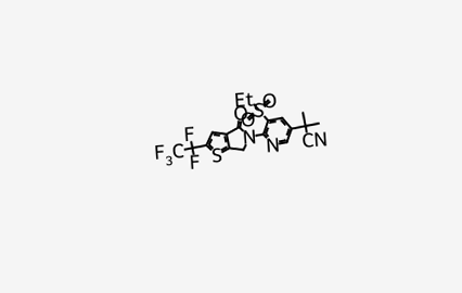 CCS(=O)(=O)c1cc(C(C)(C)C#N)cnc1N1Cc2sc(C(F)(F)C(F)(F)F)cc2C1=O